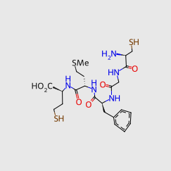 CSCC[C@H](NC(=O)[C@H](Cc1ccccc1)NC(=O)CNC(=O)[C@@H](N)CS)C(=O)N[C@@H](CCS)C(=O)O